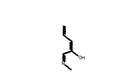 C=C/C=C(O)\C=N/C